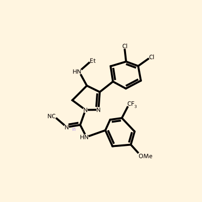 CCNC1CN(/C(=N\C#N)Nc2cc(OC)cc(C(F)(F)F)c2)N=C1c1ccc(Cl)c(Cl)c1